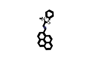 C[n+]1c(/C=C/c2ccc3ccc4cccc5ccc2c3c45)sc2ccccc21